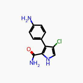 NC(=O)c1[nH]cc(Cl)c1-c1ccc(N)cc1